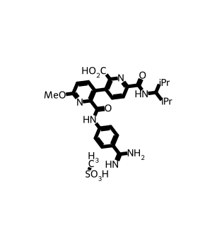 COc1ccc(-c2ccc(C(=O)NC(C(C)C)C(C)C)nc2C(=O)O)c(C(=O)Nc2ccc(C(=N)N)cc2)n1.CS(=O)(=O)O